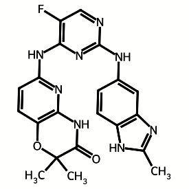 Cc1nc2cc(Nc3ncc(F)c(Nc4ccc5c(n4)NC(=O)C(C)(C)O5)n3)ccc2[nH]1